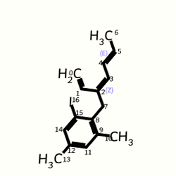 C=C/C(=C\C=C\C)Cc1c(C)cc(C)cc1I